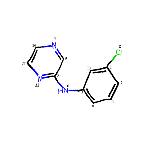 Clc1cccc(Nc2cnccn2)c1